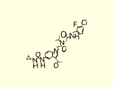 CC(=O)c1cn(CC(=O)N(CC(=O)NCc2cccc(Cl)c2F)C(C)C)c2ccc(NC(=O)NC3CC3)cc12